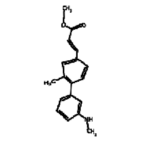 CNc1cccc(-c2ccc(/C=C/C(=O)OC)cc2C)c1